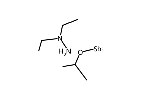 CC(C)[O][Sb].CCN(N)CC